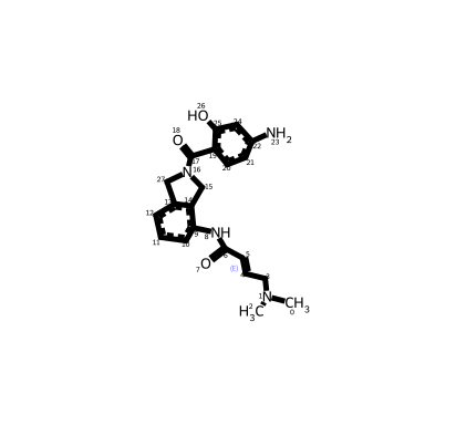 CN(C)C/C=C/C(=O)Nc1cccc2c1CN(C(=O)c1ccc(N)cc1O)C2